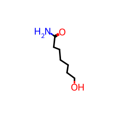 NC(=O)CCCCCCO